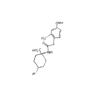 COc1ccc(CC(=O)NC2(C(=O)O)CCC(C(C)C)CC2)c(C)c1